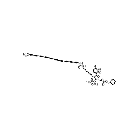 CC#CC#CC#CC#CC#CC#CC#CC#CC#CC#CNC(=S)NCCCC/C=C/C[C@H]1C(OP(=O)(O)OC)[C@@H](COC(=O)OCc2ccccc2)O[C@H]1n1ccc(=O)[nH]c1=O